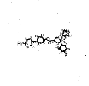 CC(C)N1CCN(c2ccc(OC[C@H]3CO[C@@](Cn4cncn4)(c4ccc(F)cc4F)C3)cc2)CC1